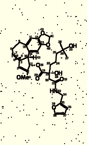 COC1=C[C@]23CCCN2CCc2cc4c(cc2[C@@H]3[C@@H]1OC(=O)[C@@](O)(CCCC(C)(C)O)CC(=O)NCc1ccco1)OCO4